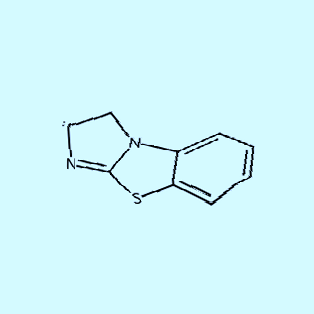 [C]1CN2C(=N1)Sc1ccccc12